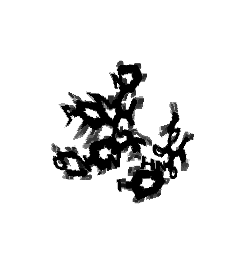 CC(C)c1c(-c2ccccn2)nc2cc(F)ccc2c1N1CC(C)(C)c2ncc(N3CCOCC3)cc21.CCOC(=O)C(C(=O)Nc1cccc(F)c1)C(C)C